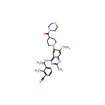 COc1cc2nc(C)nc(N[C@H](C)c3cccc(C#N)c3C)c2cc1N1CCC(C(=O)N2CCOCC2)CC1